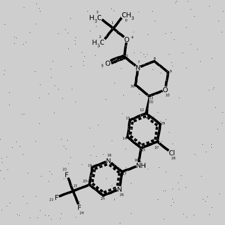 CC(C)(C)OC(=O)N1CCO[C@@H](c2ccc(Nc3ncc(C(F)(F)F)cn3)c(Cl)c2)C1